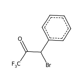 O=C(C(Br)c1ccccc1)C(F)(F)F